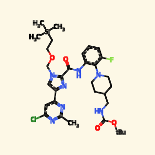 Cc1nc(Cl)cc(-c2cn(COCC[Si](C)(C)C)c(C(=O)Nc3cccc(F)c3N3CCC(CNC(=O)OC(C)(C)C)CC3)n2)n1